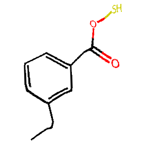 CCc1cccc(C(=O)OS)c1